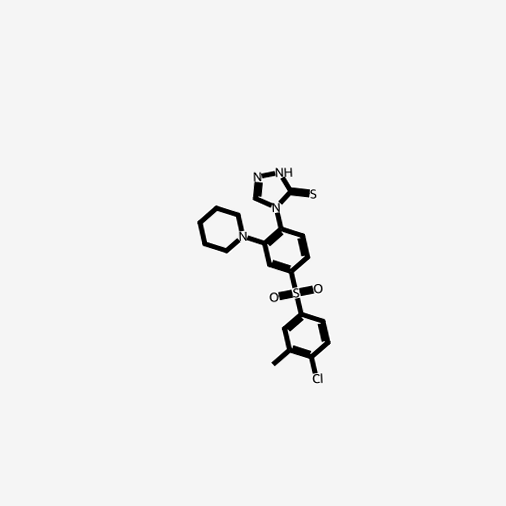 Cc1cc(S(=O)(=O)c2ccc(-n3cn[nH]c3=S)c(N3CCCCC3)c2)ccc1Cl